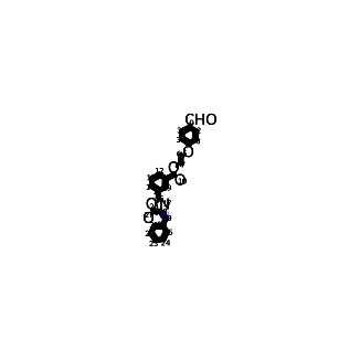 O=Cc1ccc(OCCOC(=O)c2cccc(C3=N/C(=C/c4ccccc4)C(=O)O3)c2)cc1